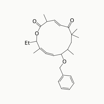 CCC1OC(=O)C(C)/C=C/C(=O)C(C)(C)CC(C)C(OCc2ccccc2)C=C=C1C